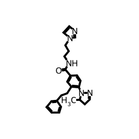 CC1CC=NN1c1ccc(C(=O)NCCCn2ccnc2)cc1CCc1ccccc1